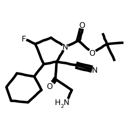 CC(C)(C)OC(=O)N1CC(F)C(C2CCCCC2)C1(C#N)C(=O)CN